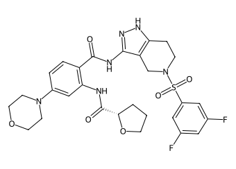 O=C(Nc1n[nH]c2c1CN(S(=O)(=O)c1cc(F)cc(F)c1)CC2)c1ccc(N2CCOCC2)cc1NC(=O)[C@@H]1CCCO1